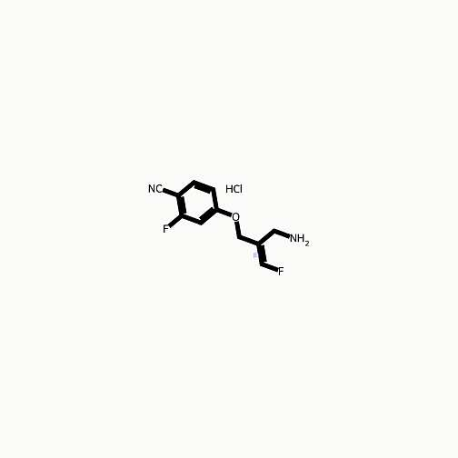 Cl.N#Cc1ccc(OC/C(=C/F)CN)cc1F